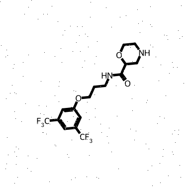 O=C(NCCCOc1cc(C(F)(F)F)cc(C(F)(F)F)c1)C1CNCCO1